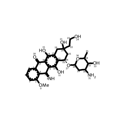 COc1cccc2c1C(=N)c1c(O)c3c(c(O)c1C2=O)CC(O)(CCO)C[C@@H]3OC1CC(N)C(O)C(C)O1